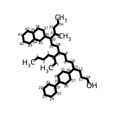 CCCCC(CC)C(CCCC(CCCO)C1CCC(C2CCCCC2)CC1)CCC(C(C)CCC)C1CCC2CCCCC2C1